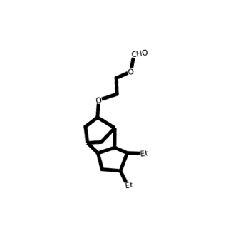 CCC1CC2C3CC(OCCOC=O)C(C3)C2C1CC